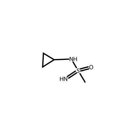 CS(=N)(=O)NC1CC1